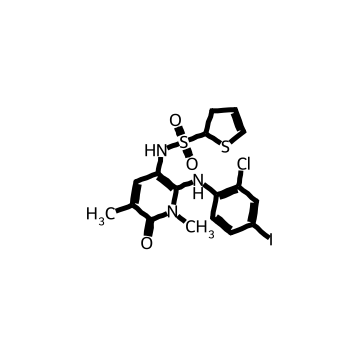 Cc1cc(NS(=O)(=O)C2CC=CS2)c(Nc2ccc(I)cc2Cl)n(C)c1=O